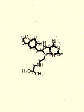 CC(C)CNCCN1c2nc(F)nc(N)c2NC1Cc1cc2c(cc1I)OCO2